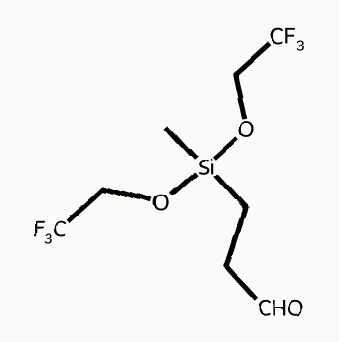 C[Si](CCC=O)(OCC(F)(F)F)OCC(F)(F)F